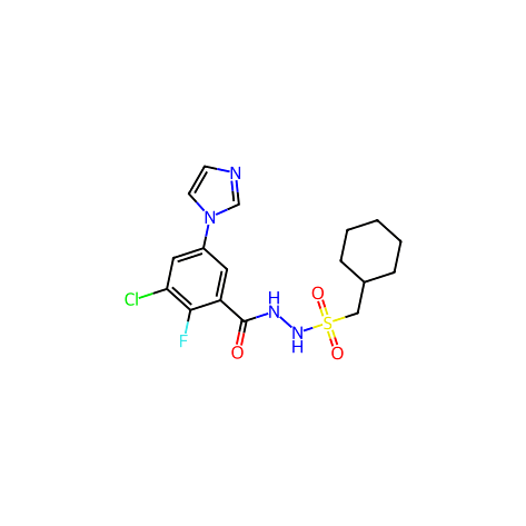 O=C(NNS(=O)(=O)CC1CCCCC1)c1cc(-n2ccnc2)cc(Cl)c1F